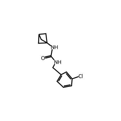 O=C(NCc1cccc(Cl)c1)NC12CC(C1)C2